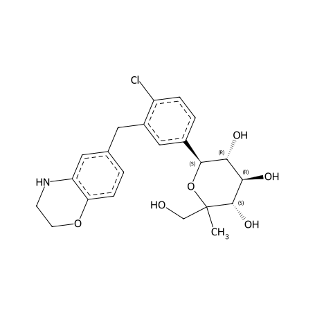 CC1(CO)O[C@@H](c2ccc(Cl)c(Cc3ccc4c(c3)NCCO4)c2)[C@H](O)[C@@H](O)[C@@H]1O